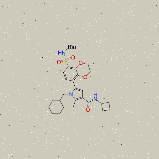 Cc1c(C(=O)NC2CCC2)cc(-c2ccc(S(=O)(=O)NC(C)(C)C)c3c2OCCO3)n1CC1CCCCC1